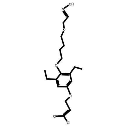 CCc1cc(OCC=C(Cl)Cl)cc(CC)c1OCCCCOCC=NO